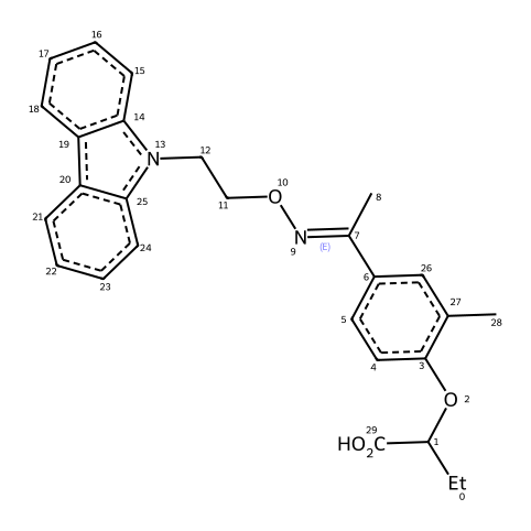 CCC(Oc1ccc(/C(C)=N/OCCn2c3ccccc3c3ccccc32)cc1C)C(=O)O